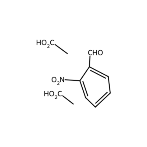 CC(=O)O.CC(=O)O.O=Cc1ccccc1[N+](=O)[O-]